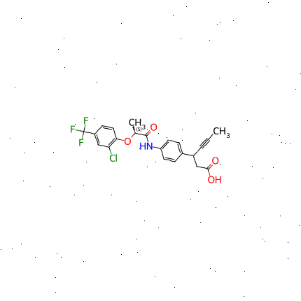 CC#CC(CC(=O)O)c1ccc(NC(=O)[C@H](C)Oc2ccc(C(F)(F)F)cc2Cl)cc1